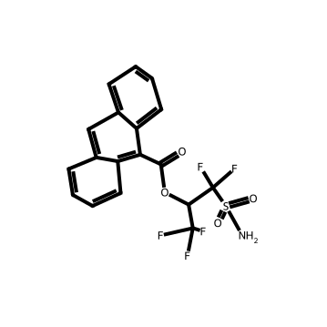 NS(=O)(=O)C(F)(F)C(OC(=O)c1c2ccccc2cc2ccccc12)C(F)(F)F